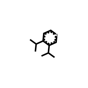 CC(C)c1ccncc1C(C)C